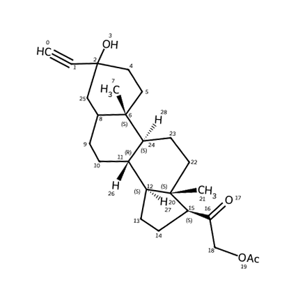 C#CC1(O)CC[C@@]2(C)C(CC[C@H]3[C@@H]4CC[C@H](C(=O)COC(C)=O)[C@@]4(C)CC[C@@H]32)C1